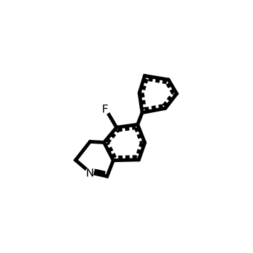 Fc1c(-c2ccccc2)ccc2c1CCN=C2